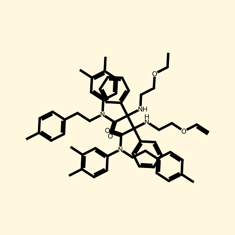 C=COCCNC(C(=O)N(CCc1ccc(C)cc1)c1ccc(C)c(C)c1)(c1ccccc1)C(NCCOCC)(C(=O)N(CCc1ccc(C)cc1)c1ccc(C)c(C)c1)c1ccccc1